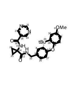 COc1ccc(Oc2ccc(CNC(=O)C3(NC(=O)c4cncnc4)CC3)cc2)c(C(C)(C)C)c1